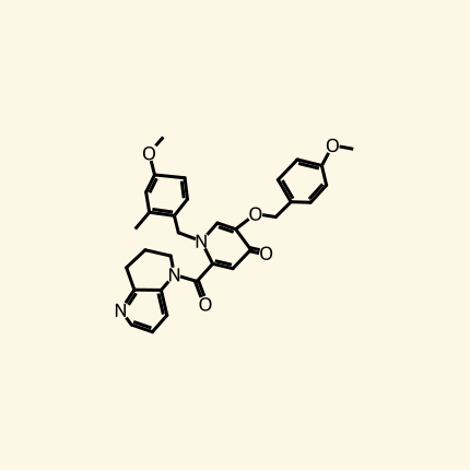 COc1ccc(COc2cn(Cc3ccc(OC)cc3C)c(C(=O)N3CCCc4ncccc43)cc2=O)cc1